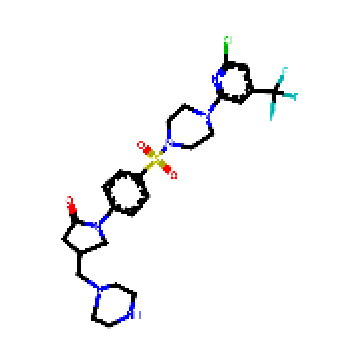 O=C1CC(CN2CCNCC2)CN1c1ccc(S(=O)(=O)N2CCN(c3cc(C(F)(F)F)cc(Cl)n3)CC2)cc1